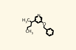 CCCC(C)c1cncc(OCc2ccccc2)c1